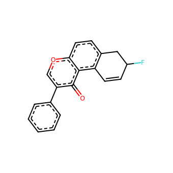 O=c1c(-c2ccccc2)coc2ccc3c(c12)C=CC(F)C3